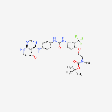 CN(CCOc1ccc(NC(=O)Nc2ccc(Nc3ncnc4[nH]ccc(=O)c34)cc2)cc1C(F)(F)F)C(=O)OC(C)(C)C